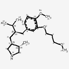 COCCCOc1cc(C[C@@H](C[C@@H]2CNC[C@H]2C)C(C)C)ccc1OC